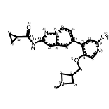 CN1CC(COc2cnc(C#N)cc2-c2ccn3nc(NC(=O)C4CC4)cc3c2)C1